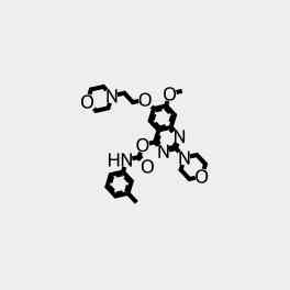 COc1cc2nc(N3CCOCC3)nc(OC(=O)Nc3cccc(C)c3)c2cc1OCCN1CCOCC1